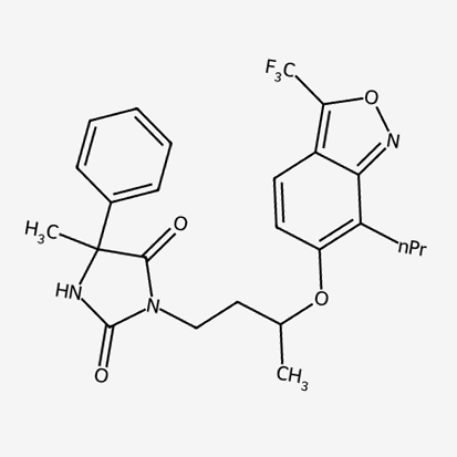 CCCc1c(OC(C)CCN2C(=O)NC(C)(c3ccccc3)C2=O)ccc2c(C(F)(F)F)onc12